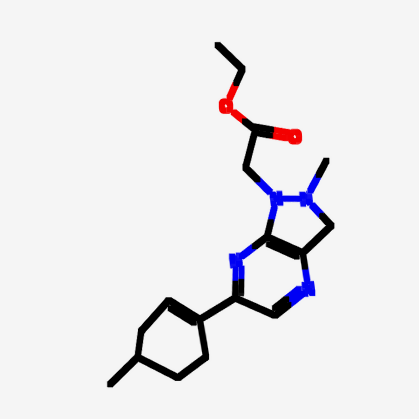 CCOC(=O)CN1c2nc(C3=CCC(C)CC3)cnc2CN1C